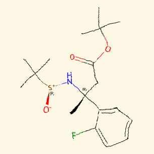 CC(C)(C)OC(=O)C[C@@](C)(N[S@@+]([O-])C(C)(C)C)c1ccccc1F